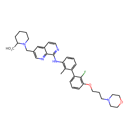 Cc1c(Nc2nccc3cc(CN4CCCCC4C(=O)O)cnc23)cccc1-c1cccc(OCCCN2CCOCC2)c1F